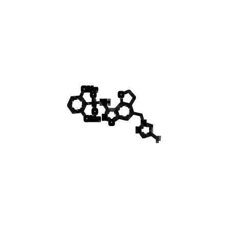 COc1cccc(OC)c1S(=O)(=O)Nc1noc2cc(Cn3cc(F)cn3)c3c(c12)OCC3